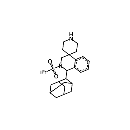 CC(C)S(=O)(=O)N1CC2(CCNCC2)c2ccccc2C1C1C2CC3CC(C2)CC1C3